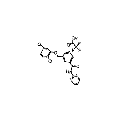 O=C(Nc1ncccn1)c1cccc(COc2cc(Cl)ccc2Cl)c1.O=C(O)C(F)(F)F